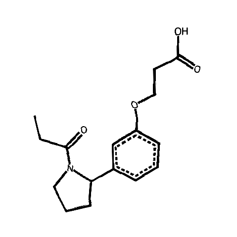 CCC(=O)N1CCCC1c1cccc(OCCC(=O)O)c1